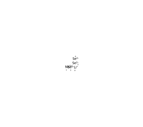 [Li+].[Nb+5].[Se-2].[Se-2].[Se-2]